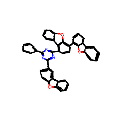 c1ccc(-c2nc(-c3ccc4oc5ccccc5c4c3)nc(-c3ccc(-c4cccc5c4oc4ccccc45)c4oc5ccccc5c34)n2)cc1